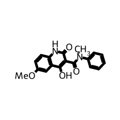 COc1ccc2[nH]c(=O)c(C(=O)N(C)c3ccccc3)c(O)c2c1